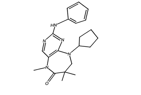 CN1C(=O)C(C)(C)CN(C2CCCC2)c2nc(Nc3ccccc3)ncc21